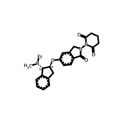 CCN(C)[C@H]1c2ccccc2C[C@@H]1Oc1ccc2c(c1)CN(N1C(=O)CCCC1=O)C2=O